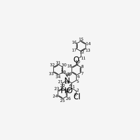 OC(CCl)C(Cc1ccc(OCc2ccccc2)cc1)N(Cc1ccccc1)Cc1ccccc1